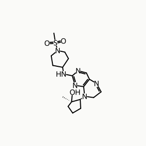 C[C@@]1(O)CCC[C@H]1N1CC=Nc2cnc(NC3CCN(S(C)(=O)=O)CC3)nc21